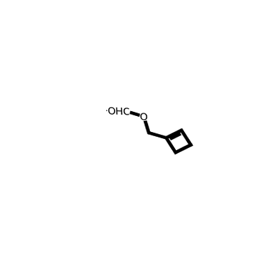 O=[C]OCC1=CCC1